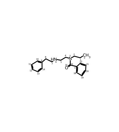 CCCN(CCNCCc1ccccc1)C(=O)c1ccccc1